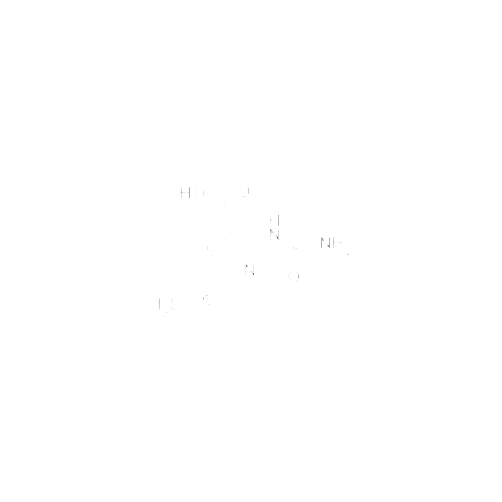 CSc1nc(NC(N)=O)c(C(=O)O)s1